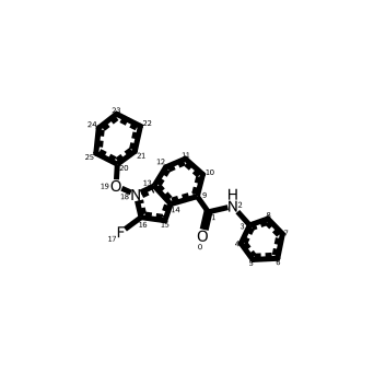 O=C(Nc1ccccc1)c1cccc2c1cc(F)n2Oc1ccccc1